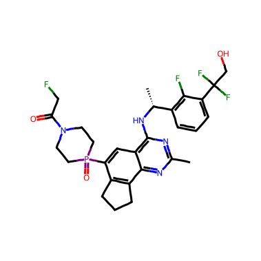 Cc1nc(N[C@H](C)c2cccc(C(F)(F)CO)c2F)c2cc(P3(=O)CCN(C(=O)CF)CC3)c3c(c2n1)CCC3